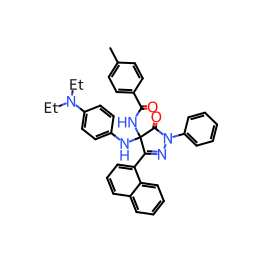 CCN(CC)c1ccc(NC2(NC(=O)c3ccc(C)cc3)C(=O)N(c3ccccc3)N=C2c2cccc3ccccc23)cc1